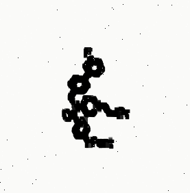 CCCCCc1ccc(C(=O)N(Cc2ccc(-c3cccc(F)c3)cc2)C2CCN(CCC(C)C)CC2)nc1